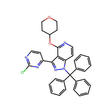 Clc1nccc(-c2nn(C(c3ccccc3)(c3ccccc3)c3ccccc3)c3ccnc(OC4CCOCC4)c23)n1